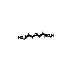 O=S(=O)(O)CCOCCS(=O)(=O)O